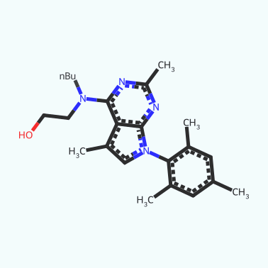 CCCCN(CCO)c1nc(C)nc2c1c(C)cn2-c1c(C)cc(C)cc1C